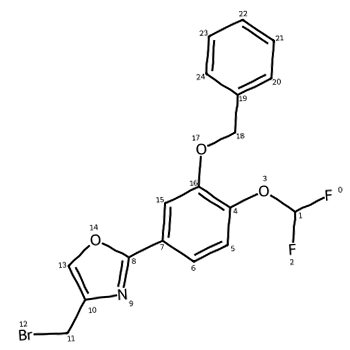 FC(F)Oc1ccc(-c2nc(CBr)co2)cc1OCc1ccccc1